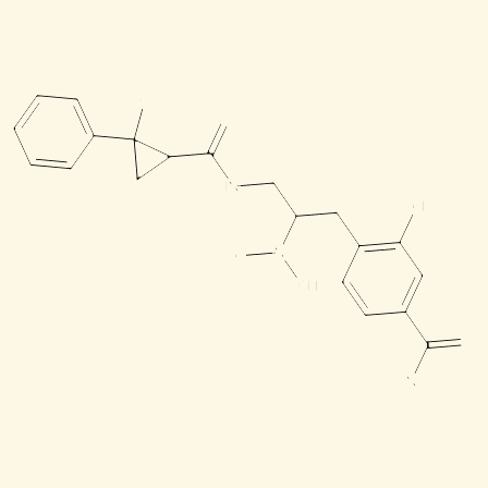 CN(C)C(CNC(=O)C1CC1(C)c1ccccc1)Cc1ccc(C(N)=O)cc1Cl